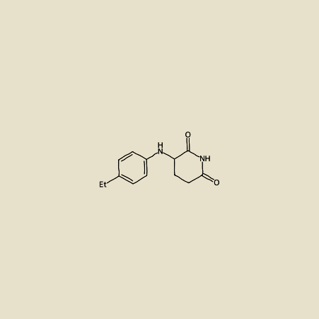 CCc1ccc(NC2CCC(=O)NC2=O)cc1